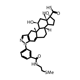 CSCCNC(=O)c1cccc(-n2ncc3c2C=C2CC[C@@H]4C([C@@H](O)C[C@@]5(C)C4CC[C@]5(O)C(=O)S)[C@@]2(C)C3)c1